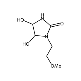 COCCN1C(=O)NC(O)C1O